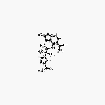 COC(=O)c1coc(C(C)(C)C(C)Nc2c(C(N)=O)cnn3cc(Br)cc23)n1